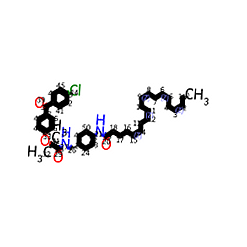 CC/C=C\C/C=C\C/C=C\C/C=C\C/C=C\CCCC(=O)N[C@H]1CC[C@H](CNC(=O)C(C)(C)Oc2ccc(C(=O)c3ccc(Cl)cc3)cc2)CC1